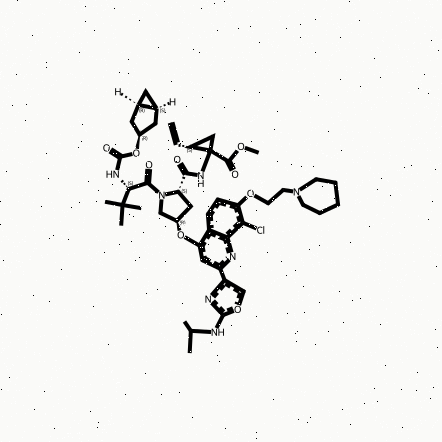 C=C[C@@H]1CC1(NC(=O)[C@@H]1C[C@@H](Oc2cc(-c3coc(NC(C)C)n3)nc3c(Cl)c(OCCN4CCCCC4)ccc23)CN1C(=O)[C@@H](NC(=O)O[C@@H]1C[C@@H]2C[C@@H]2C1)C(C)(C)C)C(=O)OC